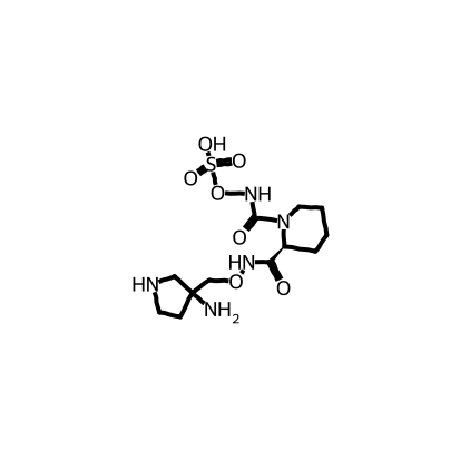 NC1(CONC(=O)[C@@H]2CCCCN2C(=O)NOS(=O)(=O)O)CCNC1